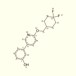 Oc1cccc(-c2ccc(OCC3CCC(F)(F)CC3)nc2)c1